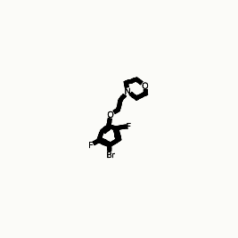 Fc1cc(OCCN2CCOCC2)c(F)cc1Br